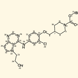 CC(C)(C)OC(=O)N1CCC(COc2ccc(Nc3ncnc4ccn(CCO)c34)cc2Cl)CC1